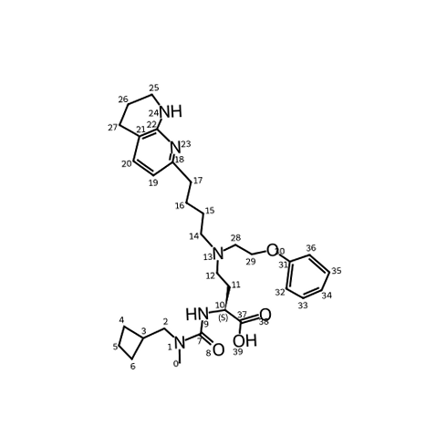 CN(CC1CCC1)C(=O)N[C@@H](CCN(CCCCc1ccc2c(n1)NCCC2)CCOc1ccccc1)C(=O)O